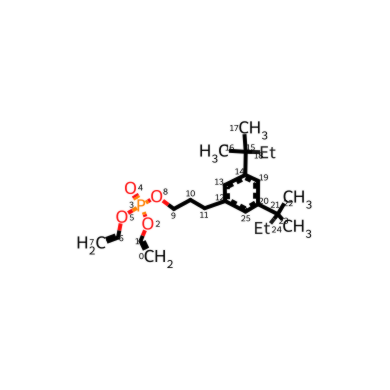 C=COP(=O)(OC=C)OCCCc1cc(C(C)(C)CC)cc(C(C)(C)CC)c1